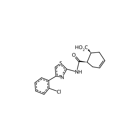 O=C(O)[C@H]1CC=CC[C@H]1C(=O)Nc1nc(-c2ccccc2Cl)cs1